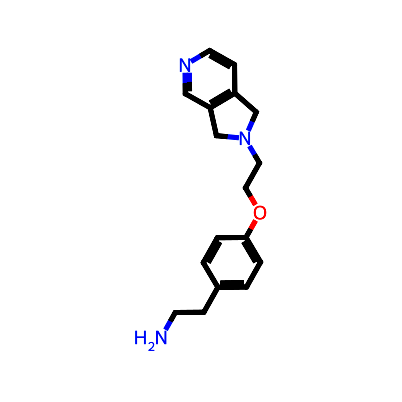 NCCc1ccc(OCCN2Cc3ccncc3C2)cc1